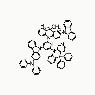 CC1(C)c2ccccc2N(c2cc(-n3c4ccccc4c4cc(N(c5ccccc5)c5ccccc5)ccc43)cc(N3c4ccccc4C(c4ccccc4)(c4ccccc4)c4ccncc43)n2)c2ccc(-n3c4ccccc4c4ccccc43)cc21